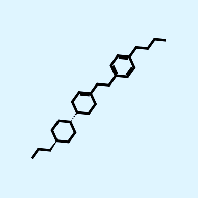 CCCCc1ccc(CCC2=CCC([C@H]3CC[C@H](CCC)CC3)CC2)cc1